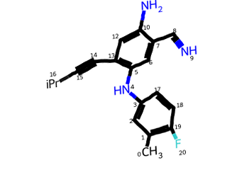 Cc1cc(Nc2cc(C=N)c(N)cc2C#CC(C)C)ccc1F